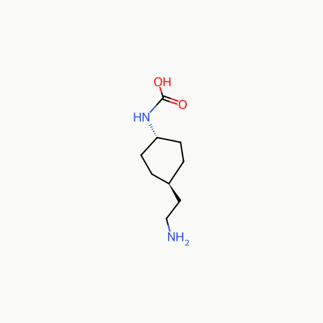 NCC[C@H]1CC[C@H](NC(=O)O)CC1